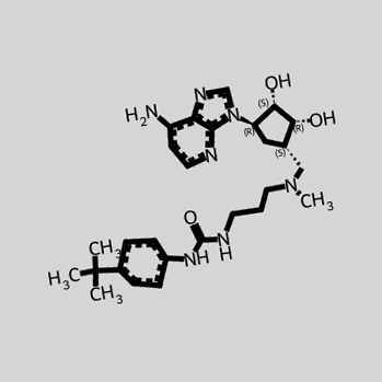 CN(CCCNC(=O)Nc1ccc(C(C)(C)C)cc1)C[C@@H]1C[C@@H](n2cnc3c(N)ccnc32)[C@H](O)[C@@H]1O